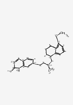 COc1cccc2c1CCCC2CN(C)CCc1ccc2cnc(=O)[nH]c2c1